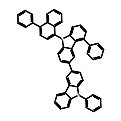 c1ccc(-c2ccc(-n3c4ccc(-c5ccc6c(c5)c5ccccc5n6-c5ccccc5)cc4c4c(-c5ccccc5)cccc43)c3ccccc23)cc1